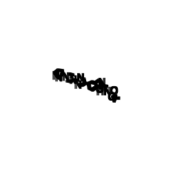 CN(Cc1cccc(-c2cnc(N3CCN(c4cccnn4)CC3)nc2)c1)C(=O)CNC(=O)OC(C)(C)C